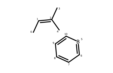 CC=C(C)C.b1ccccc1